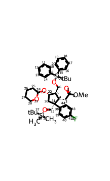 COC(=O)C[C@H]1[C@H](CO[Si](c2ccccc2)(c2ccccc2)C(C)(C)C)[C@@H](OC2CCCCO2)C[C@]1(CO[Si](C)(C)C(C)(C)C)c1ccc(F)cc1